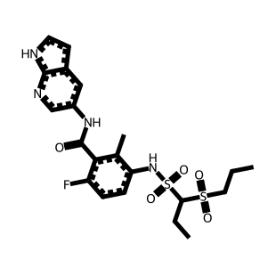 CCCS(=O)(=O)C(CC)S(=O)(=O)Nc1ccc(F)c(C(=O)Nc2cnc3[nH]ccc3c2)c1C